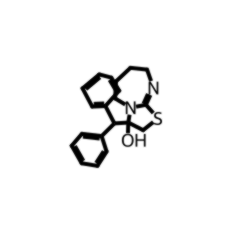 OC1(C(c2ccccc2)c2ccccc2)CSC2=NCCCCN21